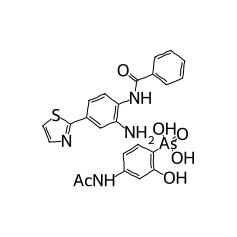 CC(=O)Nc1ccc([As](=O)(O)O)c(O)c1.Nc1cc(-c2nccs2)ccc1NC(=O)c1ccccc1